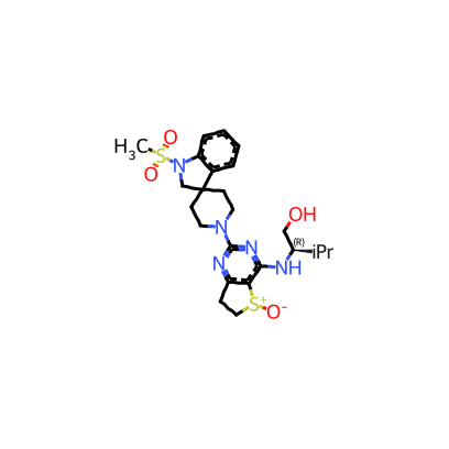 CC(C)[C@H](CO)Nc1nc(N2CCC3(CC2)CN(S(C)(=O)=O)c2ccccc23)nc2c1[S+]([O-])CC2